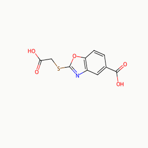 O=C(O)CSc1nc2cc(C(=O)O)ccc2o1